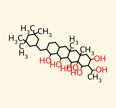 CC(O)C1C(O)CC2(C)CC3(C)CC4CCC(CC5CC(C)(C)CC(C)(C)C5)C(O)C4C(O)C3C(O)C2(O)C1O